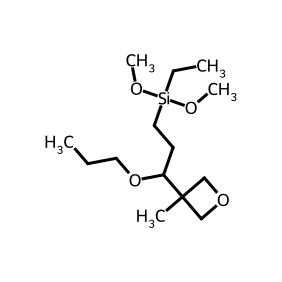 CCCOC(CC[Si](CC)(OC)OC)C1(C)COC1